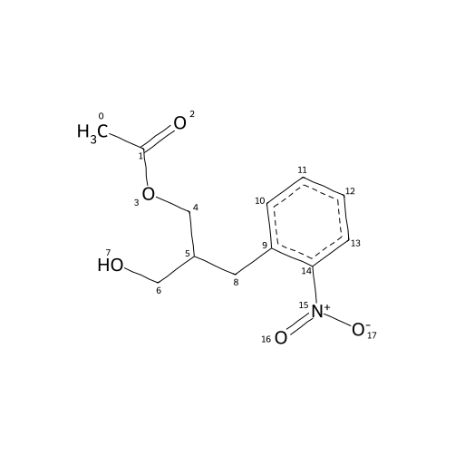 CC(=O)OCC(CO)Cc1ccccc1[N+](=O)[O-]